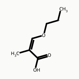 C[CH]COC=C(C)C(=O)O